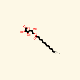 CCCCCCCCCCCC(=O)OC[C@@H](O)[C@H]1OC(=O)C(O)=C1O